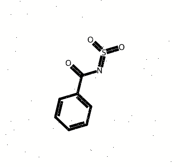 O=C(N=S(=O)=O)c1ccccc1